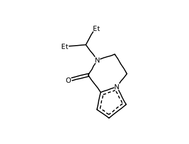 CCC(CC)N1CCn2cccc2C1=O